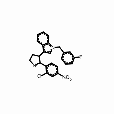 O=[N+]([O-])c1ccc(C2[N]CCC2c2cn(Cc3cccc(F)c3)c3ccccc23)c(Cl)c1